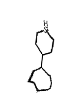 [CH]1CCC(C2CC[SiH]CC2)CC1